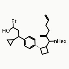 C=CCCC(=C)C(CCCCCC)C1CC[C@@H]1c1ccc(C(CC(O)CC)C2CC2)cc1